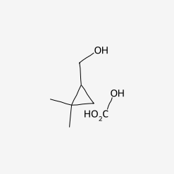 CC1(C)CC1CO.O=C(O)O